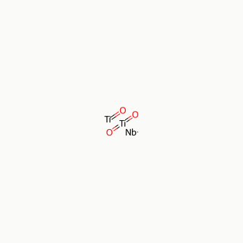 [Nb].[O]=[Ti].[O]=[Ti]=[O]